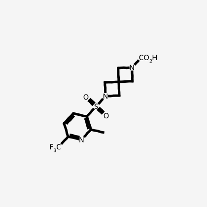 Cc1nc(C(F)(F)F)ccc1S(=O)(=O)N1CC2(CN(C(=O)O)C2)C1